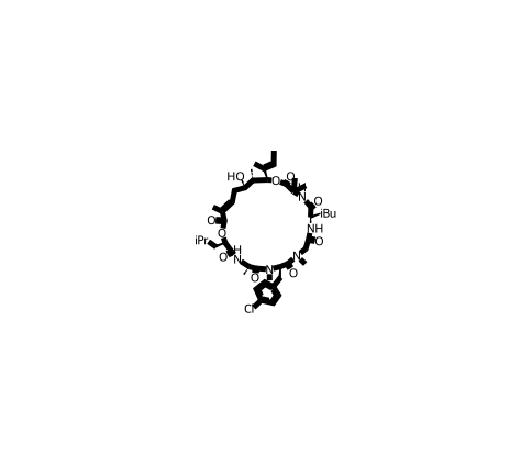 C/C=C(\C)[C@H]1OC(=O)C(C)(C)NC(=O)[C@H]([C@H](C)CC)NC(=O)CN(C)C(=O)[C@@H](Cc2ccc(Cl)cc2)N(C)C(=O)[C@H](C)NC(=O)[C@@H](CC(C)C)OC(=O)/C(C)=C/C[C@H](O)[C@@H]1C